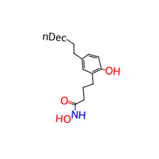 CCCCCCCCCCCCc1ccc(O)c(CCCC(=O)NO)c1